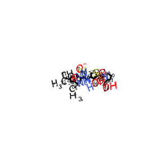 CC[C@@H](Nc1n[s+]([O-])nc1NC1CSC(S(=O)(=O)N2CCCC2CO)=C1O)c1cc(C(C)C)co1